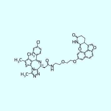 Cc1sc2c(c1C)C(c1ccc(Cl)cc1)=N[C@@H](CC(=O)NCCOCCOc1ccc3c(ccc4occ(C5CCC(=O)NC5=O)c43)c1)c1nnc(C)n1-2